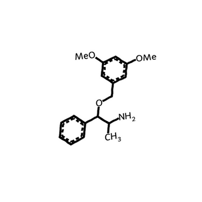 COc1cc(COC(c2ccccc2)C(C)N)cc(OC)c1